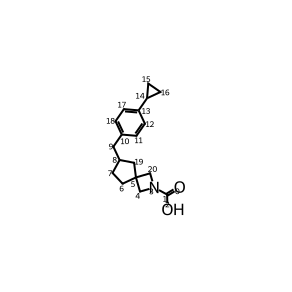 O=C(O)N1CC2(CCC(Cc3ccc(C4CC4)cc3)C2)C1